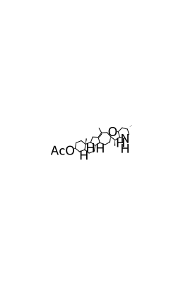 CC(=O)O[C@H]1CC[C@@]2(C)[C@H](CCC3[C@@H]4CC[C@@]5(CC(C)=C4C[C@@H]32)OC2C[C@H](C)CN[C@H]2[C@H]5C)C1